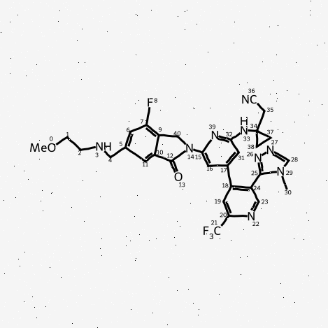 COCCNCc1cc(F)c2c(c1)C(=O)N(c1cc(-c3cc(C(F)(F)F)ncc3-c3nncn3C)cc(NC3(CC#N)CC3)n1)C2